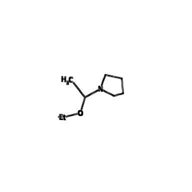 C[CH]OC(C)N1CCCC1